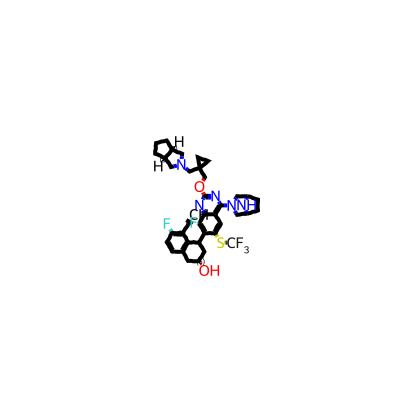 C#Cc1c(F)ccc2c1C(c1c(SC(F)(F)F)cc3c(N4CC5CCC(C4)N5)nc(OCC4(CN5C[C@H]6CCC[C@H]6C5)CC4)nc3c1F)C[C@H](O)C2